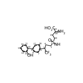 N=S(=O)(CCC(c1ccc(-c2ccccc2O)cc1)C(F)(F)F)CC[C@H](N)C(=O)O